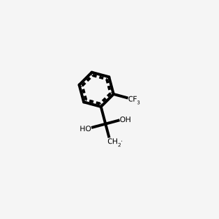 [CH2]C(O)(O)c1ccccc1C(F)(F)F